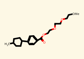 COCCOCCOCCOC(=O)c1ccc(C2CCC(C)CC2)cc1